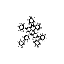 c1ccc(-c2ccc(N3c4cc(-c5ccccc5)c(-c5ccccc5)cc4B4c5ccccc5N(c5ccccc5)c5cc(-c6ccccc6)cc3c54)cc2)cc1